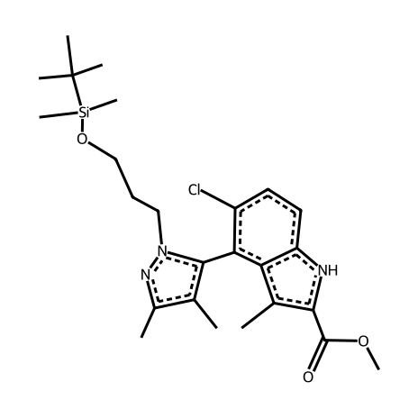 COC(=O)c1[nH]c2ccc(Cl)c(-c3c(C)c(C)nn3CCCO[Si](C)(C)C(C)(C)C)c2c1C